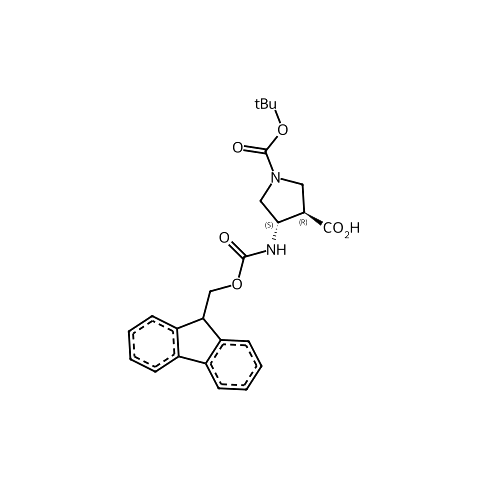 CC(C)(C)OC(=O)N1C[C@@H](NC(=O)OCC2c3ccccc3-c3ccccc32)[C@H](C(=O)O)C1